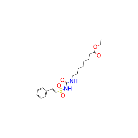 CCOC(=O)CCCCCCCNC(=O)NS(=O)(=O)/C=C/c1ccccc1